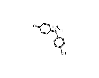 NCl.O=C1C=CC(=Nc2ccc(O)cc2)C=C1